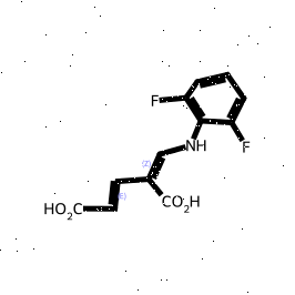 O=C(O)/C=C/C(=C/Nc1c(F)cccc1F)C(=O)O